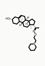 CC(=NOCCN1CCCCC1)[C@H]1CC[C@H]2[C@@H]3CC=C4C[C@@H](O)CC[C@]4(C)[C@H]3CC[C@]12C